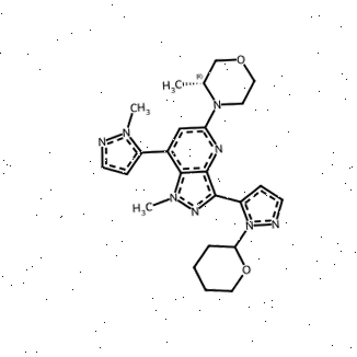 C[C@@H]1COCCN1c1cc(-c2ccnn2C)c2c(n1)c(-c1ccnn1C1CCCCO1)nn2C